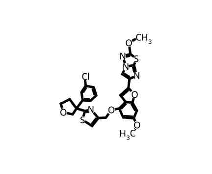 COc1cc(OCc2csc(C3(c4cccc(Cl)c4)CCOC3)n2)c2cc(-c3cn4nc(OC)sc4n3)oc2c1